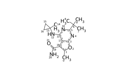 Cc1oc2nc(C(C)(C)C)nc(NC3(C)CC3)c2c1C(N)=O